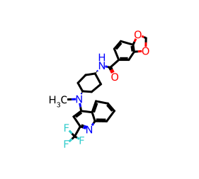 CN(c1cc(C(F)(F)F)nc2ccccc12)[C@H]1CC[C@@H](NC(=O)c2ccc3c(c2)OCO3)CC1